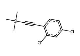 C[Si](C)(C)C#Cc1ccc(Cl)cc1Cl